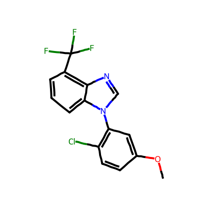 COc1ccc(Cl)c(-n2cnc3c(C(F)(F)F)cccc32)c1